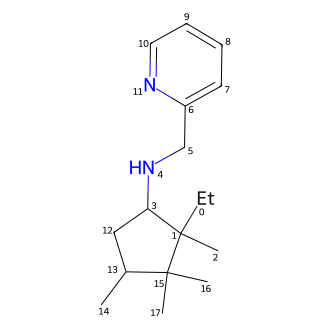 CCC1(C)C(NCc2ccccn2)CC(C)C1(C)C